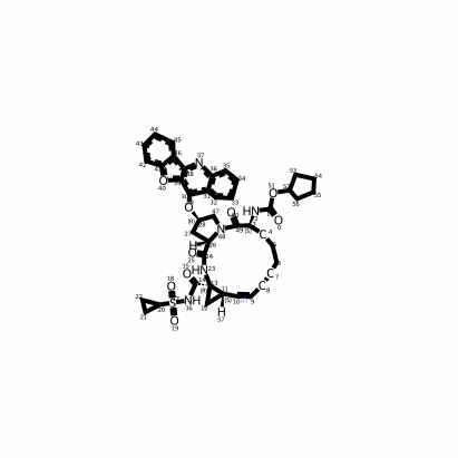 O=C(N[C@H]1CCCCC/C=C\[C@@H]2C[C@@]2(C(=O)NS(=O)(=O)C2CC2)NC(=O)[C@@H]2C[C@@H](Oc3c4ccccc4nc4c3oc3ccccc34)CN2C1=O)OC1CCCC1